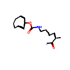 C[C@H](CCCCNC(=O)OC1/C=C/CCCCC1)C(=O)I